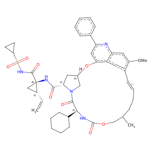 C=C[C@@H]1C[C@]1(NC(=O)[C@@H]1C[C@@H]2CN1C(=O)[C@H](C1CCCCC1)NC(=O)OCC(C)CC/C=C/c1cc3c(cc(-c4ccccc4)nc3cc1OC)O2)C(=O)NS(=O)(=O)C1CC1